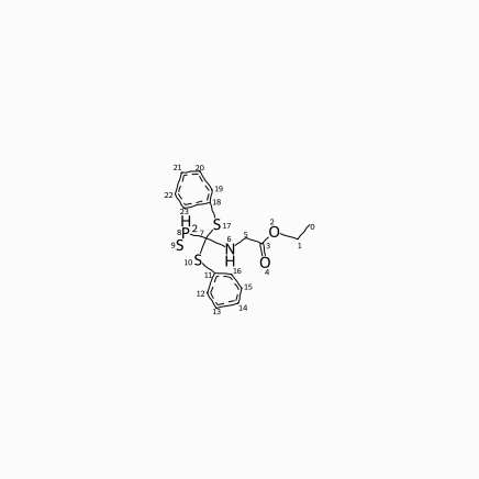 CCOC(=O)CNC([PH2]=S)(Sc1ccccc1)Sc1ccccc1